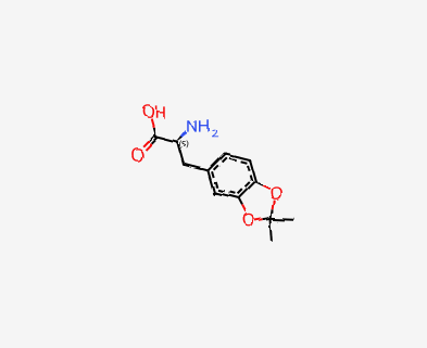 CC1(C)Oc2ccc(C[C@H](N)C(=O)O)cc2O1